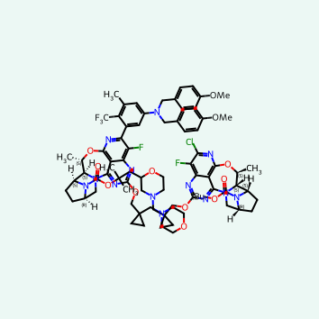 COc1ccc(CN(Cc2ccc(OC)cc2)c2cc(C)c(C(F)(F)F)c(-c3nc4c5c(nc(OCC6(CN7CCOCC7)CC6)nc5c3F)N3C[C@H]5CC[C@@H]([C@H]3[C@H](C)O4)N5C(=O)OC(C)(C)CC3CN(CC4(COc5nc6c7c(nc(Cl)c(F)c7n5)O[C@@H](C)[C@@H]5[C@@H]7CC[C@H](CN65)N7C(=O)OC(C)(C)C)CC4)CCO3)c2)cc1